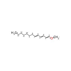 [CH2]OC=CC=CC=CCCCCCCC